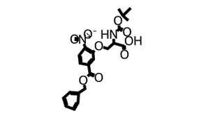 CC(C)(C)OC(=O)NC(COc1cc(C(=O)OCc2ccccc2)ccc1[N+](=O)[O-])C(=O)O